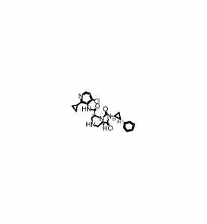 O=C(Nc1c(Cl)ccnc1C1CC1)[C@@H]1CNC[C@H]2C(=O)N([C@H]3C[C@@H]3c3ccccc3)C(=O)N12